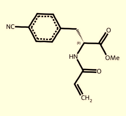 C=CC(=O)N[C@H](Cc1ccc(C#N)cc1)C(=O)OC